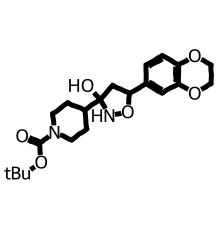 CC(C)(C)OC(=O)N1CCC(C2(O)CC(c3ccc4c(c3)OCCO4)ON2)CC1